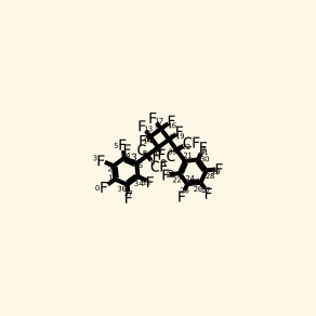 Fc1c(F)c(F)c(C(C(F)(F)F)(C(F)(F)F)C2(F)C(F)(F)C(F)(F)C2(F)C(c2c(F)c(F)c(F)c(F)c2F)(C(F)(F)F)C(F)(F)F)c(F)c1F